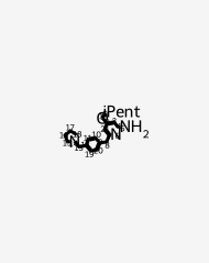 CCCC(C)Oc1cc(N)nc(Cc2ccc(CN3CCCC3)cc2)c1